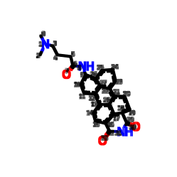 CN(C)CCCC(=O)Nc1ccc2c3ccc4c5c(ccc(c6cccc1c62)c53)C(=O)NC4=O